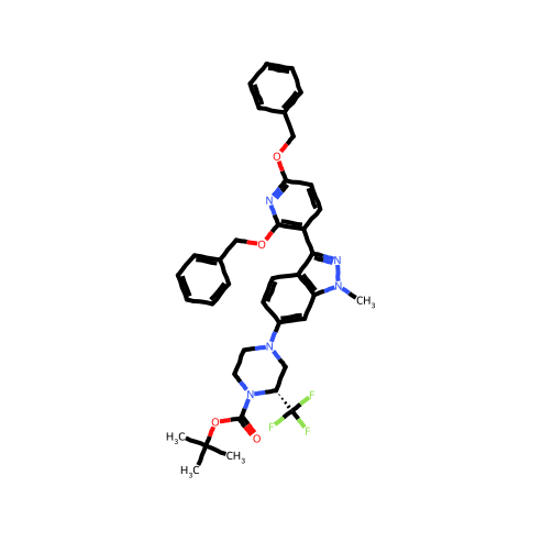 Cn1nc(-c2ccc(OCc3ccccc3)nc2OCc2ccccc2)c2ccc(N3CCN(C(=O)OC(C)(C)C)[C@@H](C(F)(F)F)C3)cc21